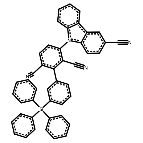 N#Cc1ccc2c(c1)c1ccccc1n2-c1ccc(C#N)c(-c2cccc([Si](c3ccccc3)(c3ccccc3)c3ccccc3)c2)c1C#N